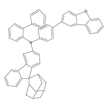 c1ccc(-c2ccccc2N(c2ccc(-c3ccc4oc5ccccc5c4c3)cc2)c2ccc3c(c2)-c2ccccc2C32C3CC4CC(C3)CC2C4)cc1